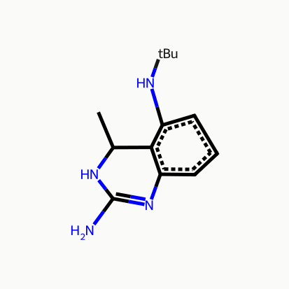 CC1NC(N)=Nc2cccc(NC(C)(C)C)c21